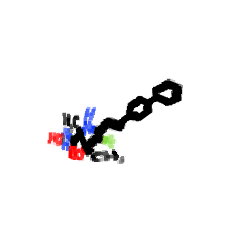 CC(O)(CF)C(C)(NC/C=C/c1ccc(-c2ccccc2)cc1)C(=O)NO